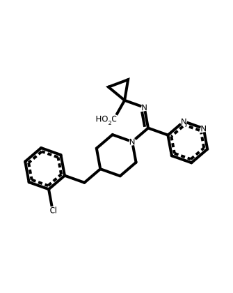 O=C(O)C1(N=C(c2cccnn2)N2CCC(Cc3ccccc3Cl)CC2)CC1